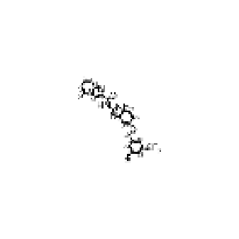 Cc1cccc2nc(C(=O)Nc3nc4cc(OCc5cc(F)cc(C(F)(F)F)c5)ccc4[nH]3)cn12